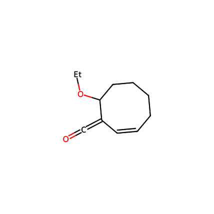 CCOC1CCCCC=CC1=C=O